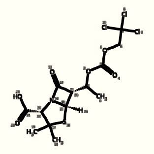 CC(OC(=O)OCC(Cl)(Cl)Cl)[C@H]1C(=O)N2[C@@H]1SC(C)(C)[C@@H]2C(=O)O